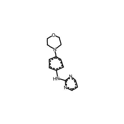 c1cnc(Nc2ccc(N3CCOCC3)cc2)nc1